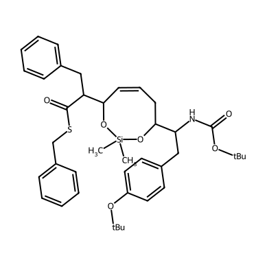 CC(C)(C)OC(=O)NC(Cc1ccc(OC(C)(C)C)cc1)C1CC=CC(C(Cc2ccccc2)C(=O)SCc2ccccc2)O[Si](C)(C)O1